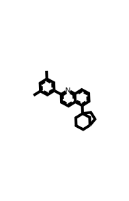 Cc1cc(C)cc(-c2ccc3c(C45CCCC(CC4)C5)cccc3n2)c1